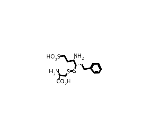 N[C@@H](CSS[C@@H](CCc1ccccc1)[C@@H](N)CCS(=O)(=O)O)C(=O)O